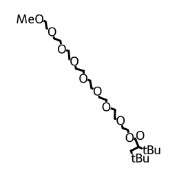 COCCOCCOCCOCCOCCOCCOCCOCCOC(=O)C(CC(C)(C)C)C(C)(C)C